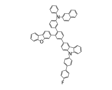 Fc1ccc(-c2ccc(-n3c4ccccc4c4cc(-c5ccc(-c6cccc(N(c7ccccc7)c7ccc8ccccc8c7)c6)c(-c6ccc7c(c6)oc6ccccc67)c5)ccc43)cc2)cc1